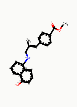 COC(=O)c1ccc(C=C(C)CNc2cccc3c(O)cccc23)cc1